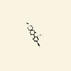 CC#Cc1cc(C)c(C2C(=O)CC3(CCN(C(C)=O)CC3)CC2=O)c(OC)c1